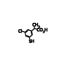 CC(C(=O)O)c1cc(S)cc(Cl)c1